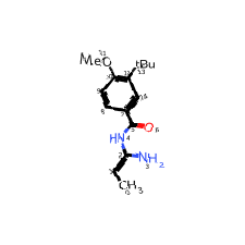 CC=C(N)NC(=O)c1ccc(OC)c(C(C)(C)C)c1